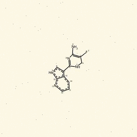 NC1=C(F)CNC(c2c[nH]c3ncccc23)=N1